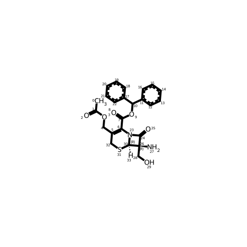 CC(=O)OCC1=C(C(=O)OC(c2ccccc2)c2ccccc2)N2C(=O)[C@](N)(CO)[C@H]2SC1